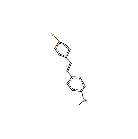 CBc1ccc(/C=C/c2ccc(Br)cc2)cc1